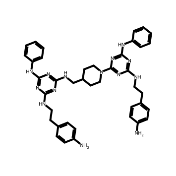 Nc1ccc(CCNc2nc(NCC3CCN(c4nc(NCCc5ccc(N)cc5)nc(Nc5ccccc5)n4)CC3)nc(Nc3ccccc3)n2)cc1